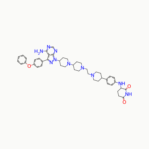 Nc1ncnc2c1c(-c1ccc(Oc3ccccc3)cc1)nn2C1CCN(C2CCN(CCN3CCC(c4ccc(NC5CCC(=O)NC5=O)cc4)CC3)CC2)CC1